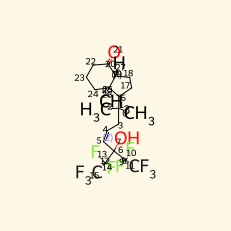 CC(C)(C/C=C\C(O)(C(F)(F)C(F)(F)F)C(F)(F)C(F)(F)F)C1CC[C@H]2C(=O)CCC[C@]12C